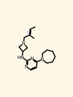 C/C=C(\C)CN1CC(Nc2nccc(N3CCCCCC3)n2)C1